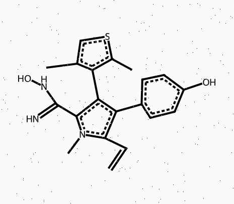 C=Cc1c(-c2ccc(O)cc2)c(-c2c(C)csc2C)c(C(=N)NO)n1C